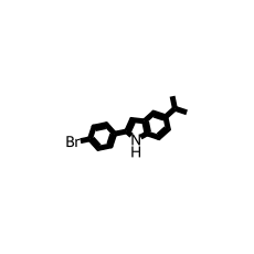 CC(C)c1ccc2[nH]c(-c3ccc(Br)cc3)cc2c1